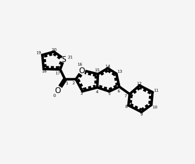 O=C(c1cc2cc(-c3ccccc3)ccc2o1)c1cccs1